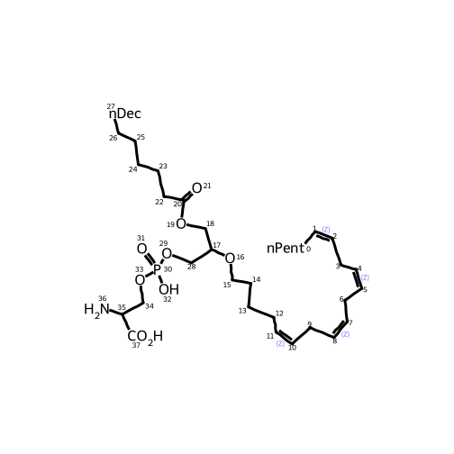 CCCCC/C=C\C/C=C\C/C=C\C/C=C\CCCCOC(COC(=O)CCCCCCCCCCCCCCC)COP(=O)(O)OCC(N)C(=O)O